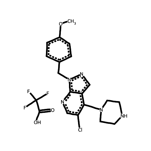 COc1ccc(Cn2ncc3c(N4CCNCC4)c(Cl)cnc32)cc1.O=C(O)C(F)(F)F